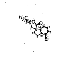 C=CCCC1(C(=O)OC)CCc2c(Br)cccc21